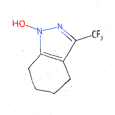 On1nc(C(F)(F)F)c2c1CCCC2